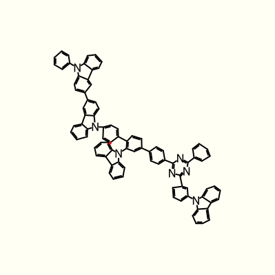 c1ccc(-c2nc(-c3ccc(-c4ccc(-c5ccc(-n6c7ccccc7c7cc(-c8ccc9c(c8)c8ccccc8n9-c8ccccc8)ccc76)cc5)c(-n5c6ccccc6c6ccccc65)c4)cc3)nc(-c3cccc(-n4c5ccccc5c5ccccc54)c3)n2)cc1